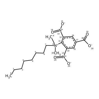 CCCCCCCC[N+](C)(C)c1c([N+](=O)[O-])cc(C(=O)[O-])cc1[N+](=O)[O-]